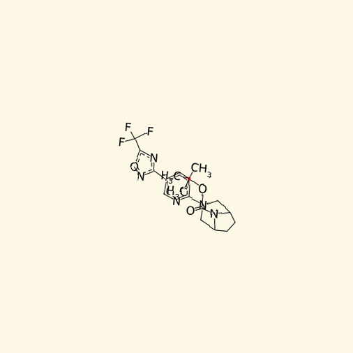 CC(C)(C)OC(=O)N1C2CCC1CN(c1ccc(-c3noc(C(F)(F)F)n3)cn1)C2